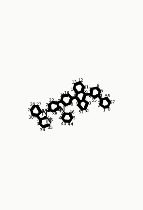 c1ccc(-c2cccc(-c3c4ccccc4c(-c4ccc5c6ccc(-n7c8ccccc8c8cccnc87)cc6n(-c6ccccc6)c5c4)c4ccccc34)c2)cc1